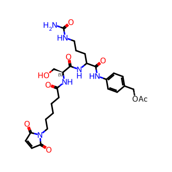 CC(=O)OCc1ccc(NC(=O)C(CCCNC(N)=O)NC(=O)[C@H](CO)NC(=O)CCCCCN2C(=O)C=CC2=O)cc1